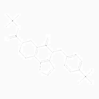 CC(C)(C)OC(=O)N1CCc2c(c(=O)n(Cc3ccc(C(F)(F)F)cc3)c3ccsc23)C1